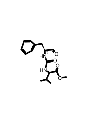 COC(=O)C(NC(=O)N[C@H](C=O)Cc1ccccc1)C(C)C